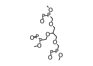 COP(COCC(COCP(OC)P=O)OCP(OC)P=O)P=O